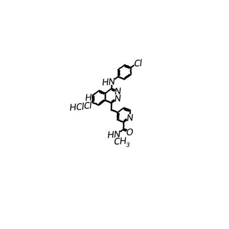 CNC(=O)c1cc(Cc2nnc(Nc3ccc(Cl)cc3)c3ccccc23)ccn1.Cl.Cl